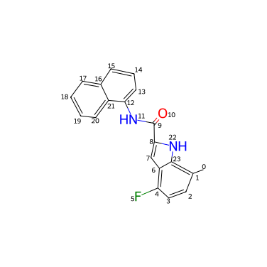 Cc1ccc(F)c2cc(C(=O)Nc3cccc4ccccc34)[nH]c12